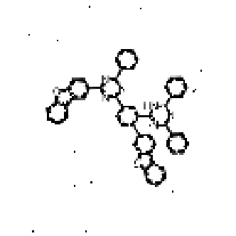 c1ccc(C2=NC(c3ccccc3)NC(c3cc(-c4nc(-c5ccccc5)nc(-c5ccc6oc7ccccc7c6c5)n4)ccc3-c3ccc4c(c3)sc3ccccc34)=N2)cc1